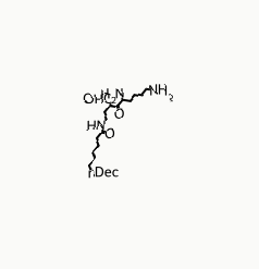 CCCCCCCCCCCCCCCC(=O)NCCC([C]=O)C(=O)[C@@H](N)CCCCN